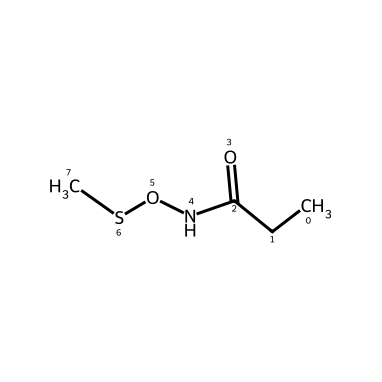 CCC(=O)NOSC